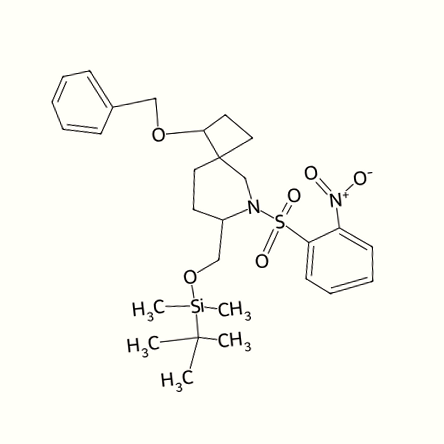 CC(C)(C)[Si](C)(C)OCC1CCC2(CCC2OCc2ccccc2)CN1S(=O)(=O)c1ccccc1[N+](=O)[O-]